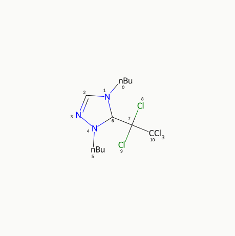 CCCCN1C=NN(CCCC)C1C(Cl)(Cl)C(Cl)(Cl)Cl